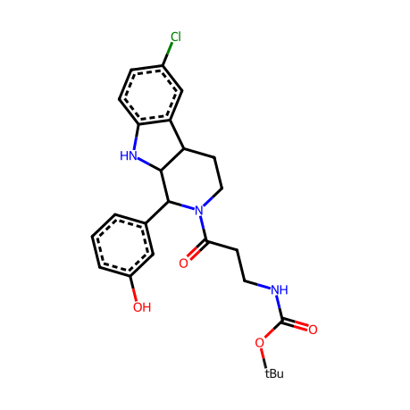 CC(C)(C)OC(=O)NCCC(=O)N1CCC2c3cc(Cl)ccc3NC2C1c1cccc(O)c1